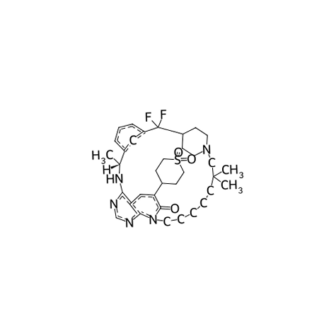 C[C@H]1Nc2ncnc3c2cc(C2CCS(=O)(=O)CC2)c(=O)n3CCCCCC(C)(C)CN2CCC(CC2)C(F)(F)c2cccc1c2